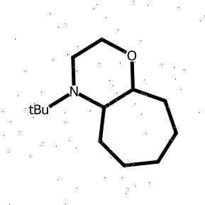 CC(C)(C)N1CCOC2CCCCCC21